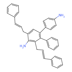 Nc1ccc(-c2cc(CC=Cc3ccccc3)c(N)c(CC=Cc3ccccc3)c2-c2ccccc2)cc1